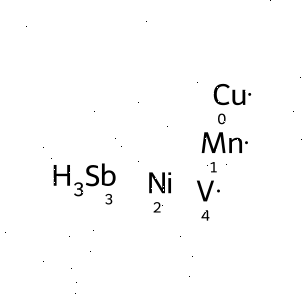 [Cu].[Mn].[Ni].[SbH3].[V]